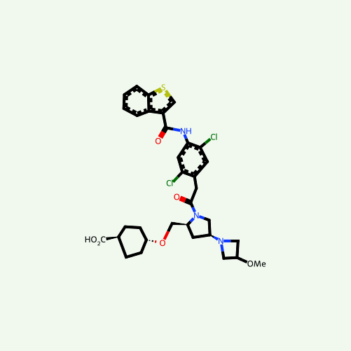 COC1CN([C@H]2C[C@@H](CO[C@H]3CC[C@H](C(=O)O)CC3)N(C(=O)Cc3cc(Cl)c(NC(=O)c4csc5ccccc45)cc3Cl)C2)C1